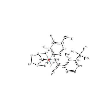 COc1ccc(C(C)N2C3CCC2CC(NC(=O)c2cccc(C(F)(F)F)c2F)C3)c(C)c1C